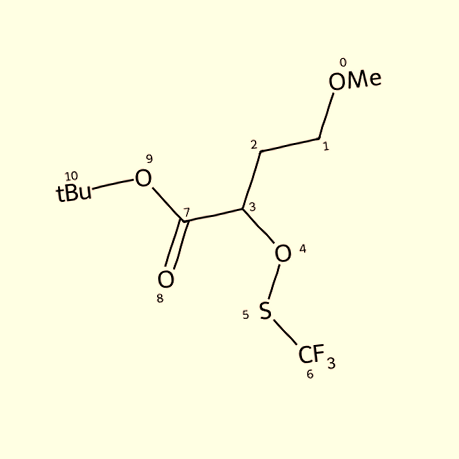 COCCC(OSC(F)(F)F)C(=O)OC(C)(C)C